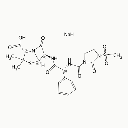 CC1(C)S[C@@H]2[C@H](NC(=O)[C@H](NC(=O)N3CCN(S(C)(=O)=O)C3=O)c3ccccc3)C(=O)N2[C@H]1C(=O)O.[NaH]